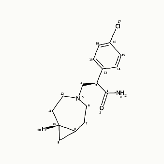 NC(=O)[C@@H](CN1CCC2C[C@@H]2CC1)c1ccc(Cl)cc1